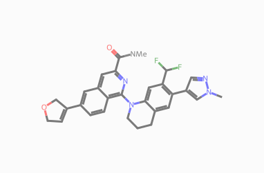 CNC(=O)c1cc2cc(C3=CCOC3)ccc2c(N2CCCc3cc(-c4cnn(C)c4)c(C(F)F)cc32)n1